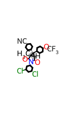 C[C@]12C(=O)N(c3cc(Cl)cc(Cl)c3)C(=O)[C@H]1[C@]2(c1ccc(C#N)cc1)c1ccc(OC(F)(F)F)cc1